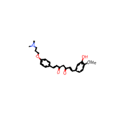 COc1ccc(/C=C/C(=O)CC(=O)/C=C/c2ccc(OCCCN(C)C)cc2)cc1O